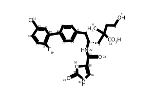 CC(CCO)(C[C@@H](Cc1ccc(-c2cc(Cl)ccc2F)cc1)NC(=O)c1c[nH]c(=O)o1)C(=O)O